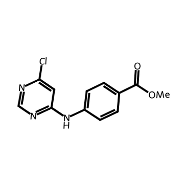 COC(=O)c1ccc(Nc2cc(Cl)ncn2)cc1